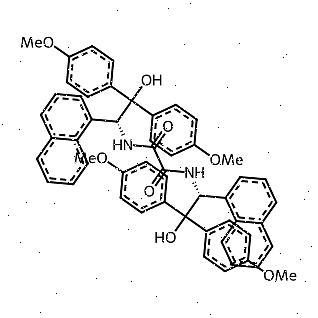 COc1ccc(C(O)(c2ccc(OC)cc2)[C@H](NC(=O)C(=O)N[C@H](c2cccc3ccccc23)C(O)(c2ccc(OC)cc2)c2ccc(OC)cc2)c2cccc3ccccc23)cc1